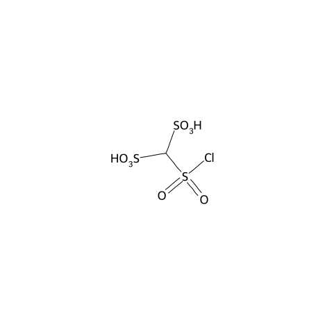 O=S(=O)(O)C(S(=O)(=O)O)S(=O)(=O)Cl